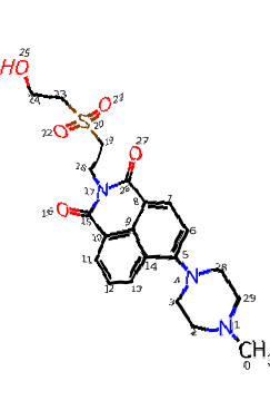 CN1CCN(c2ccc3c4c(cccc24)C(=O)N(CCS(=O)(=O)CCO)C3=O)CC1